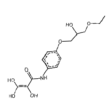 CCOCC(O)COc1ccc(NC(=O)C(O)=C(O)O)cc1